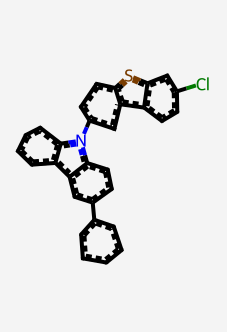 Clc1ccc2c(c1)sc1ccc(-n3c4ccccc4c4cc(-c5ccccc5)ccc43)cc12